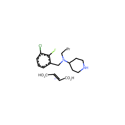 CC(C)CN(Cc1cccc(Cl)c1F)C1CCNCC1.O=C(O)/C=C/C(=O)O